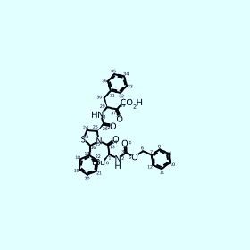 CC(C)(C)[C@H](NC(=O)OCc1ccccc1)C(=O)N1C(c2ccccc2)SC[C@H]1C(=O)N[C@@H](Cc1ccccc1)C(=O)C(=O)O